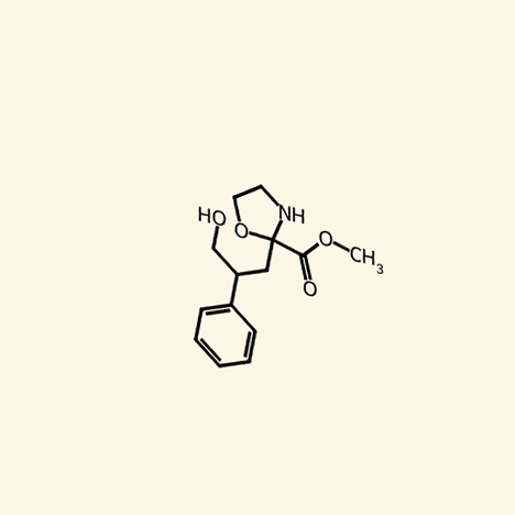 COC(=O)C1(CC(CO)c2ccccc2)NCCO1